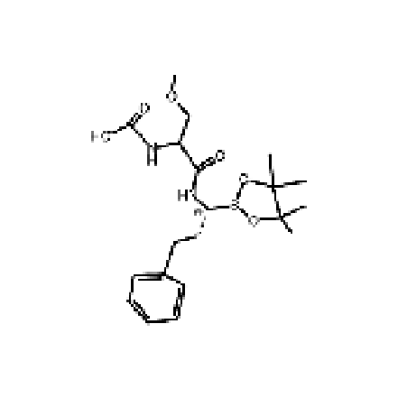 COCC(NC(=O)O)C(=O)N[C@@H](CCc1ccccc1)B1OC(C)(C)C(C)(C)O1